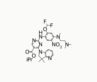 CC(C)OC(=O)c1cnc(Nc2cc([N+](=O)[O-])c(N(C)CCN(C)C)cc2OC(F)F)nc1N1CC(C)(C)c2ncccc21